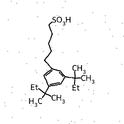 CCC(C)(C)c1cc(CCCCCS(=O)(=O)O)cc(C(C)(C)CC)c1